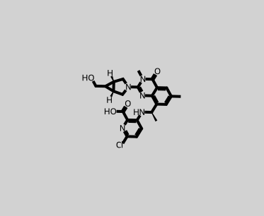 Cc1cc([C@@H](C)Nc2ccc(Cl)nc2C(=O)O)c2nc(N3C[C@@H]4C(CO)[C@@H]4C3)n(C)c(=O)c2c1